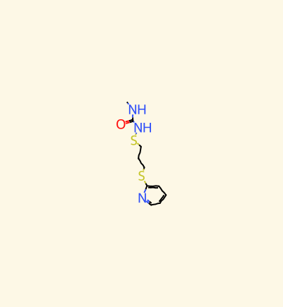 CNC(=O)NSCCCSc1ccccn1